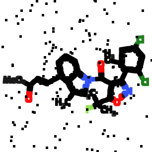 COC(=O)/C=C/c1cccc2c1c(C)cn2C(=O)c1c(-c2c(C)cc(Cl)cc2Cl)noc1C(C)(C)F